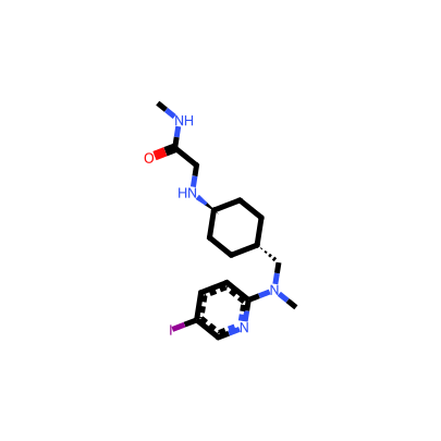 CNC(=O)CN[C@H]1CC[C@H](CN(C)c2ccc(I)cn2)CC1